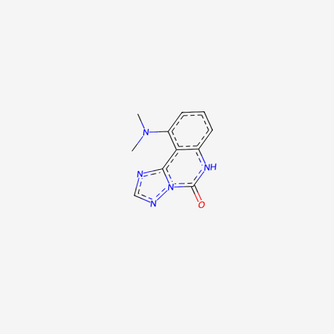 CN(C)c1cccc2[nH]c(=O)n3ncnc3c12